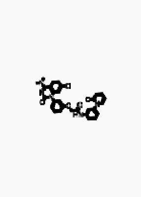 CN(C)c1nc(=O)n(-c2cccc(OCC(=O)Nc3cccc(-n4ccccc4=O)c3)c2)c2cc(Cl)ccc12